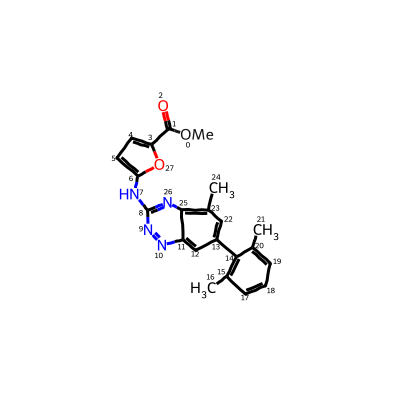 COC(=O)c1ccc(Nc2nnc3cc(-c4c(C)cccc4C)cc(C)c3n2)o1